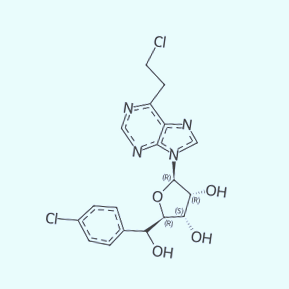 OC(c1ccc(Cl)cc1)[C@H]1O[C@@H](n2cnc3c(CCCl)ncnc32)[C@H](O)[C@@H]1O